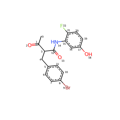 CC(=O)C(Cc1ccc(Br)cc1)C(=O)Nc1cc(O)ccc1F